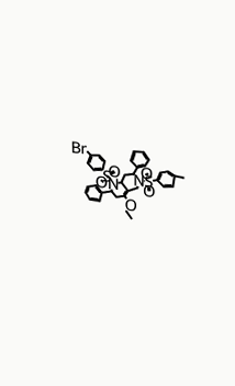 CCOC1=C2CN(S(=O)(=O)c3ccc(C)cc3)C(c3ccccc3)CC2N(S(=O)(=O)c2ccc(Br)cc2)C(c2ccccc2)C1